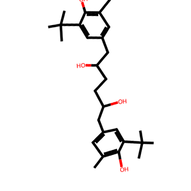 Cc1cc(CC(O)CCC(O)Cc2cc(C)c(O)c(C(C)(C)C)c2)cc(C(C)(C)C)c1O